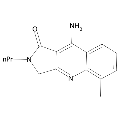 CCCN1Cc2nc3c(C)cccc3c(N)c2C1=O